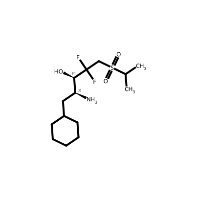 CC(C)S(=O)(=O)CC(F)(F)[C@H](O)[C@@H](N)CC1CCCCC1